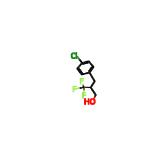 OCC(Cc1ccc(Cl)cc1)C(F)(F)F